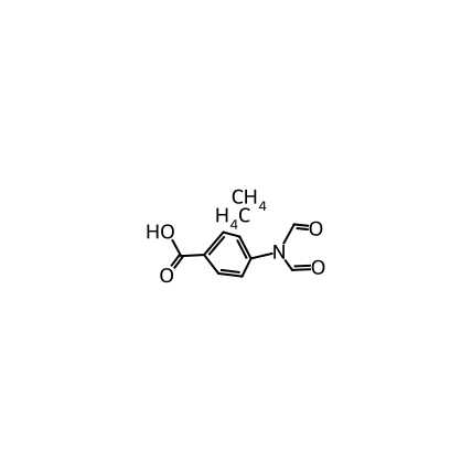 C.C.O=CN(C=O)c1ccc(C(=O)O)cc1